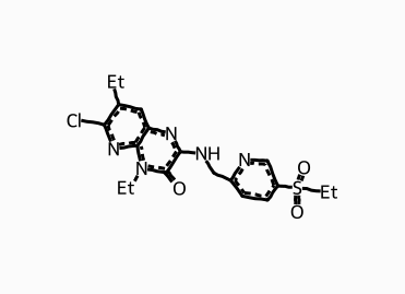 CCc1cc2nc(NCc3ccc(S(=O)(=O)CC)cn3)c(=O)n(CC)c2nc1Cl